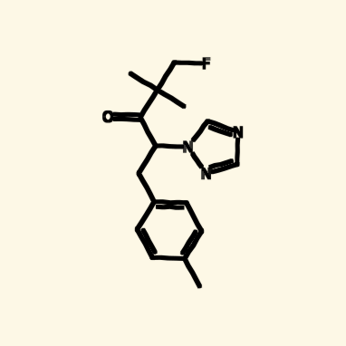 Cc1ccc(CC(C(=O)C(C)(C)CF)n2cncn2)cc1